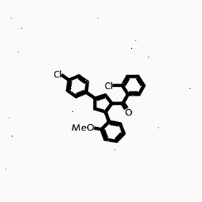 COc1ccccc1C1CC(c2ccc(Cl)cc2)=CC1C(=O)c1ccccc1Cl